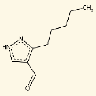 CCCCCc1n[nH]cc1C=O